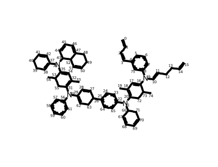 C=C/C=C\c1cccc(N(/C=C/CCC=C)C2=CC(C)=C(N(c3ccc(C4C=CC(N(C5=C(C)C=C(N(C6=CCCC=C6)C6C=CC=C7CCC=CC76)C(C)C5)c5ccccc5)=CC4)cc3)C3C=CC=CC3)CC2C)c1